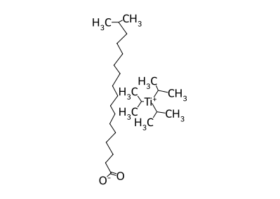 CC(C)CCCCCCCCCCCCCCC(=O)[O-].C[CH](C)[Ti+]([CH](C)C)[CH](C)C